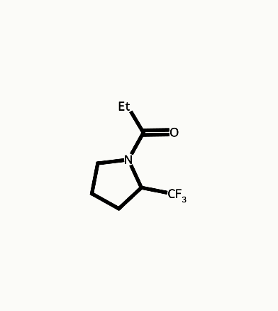 CCC(=O)N1CCCC1C(F)(F)F